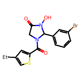 CCc1csc(C(=O)N2CC(=O)N(O)C2c2cccc(Br)c2)c1